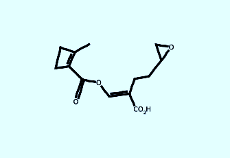 CC1=C(C(=O)OC=C(CCC2CO2)C(=O)O)CC1